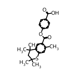 Cc1cc2c(cc1C(=O)Oc1ccc(C(=O)O)cc1)C(C)(C)CC(C)(C)S2